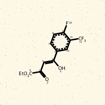 CCOC(=O)C(=O)/C=C(\O)c1ccc(F)c(C(F)(F)F)c1